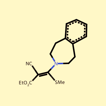 CCOC(=O)/C(C#N)=C(\SC)N1CCc2ccccc2CC1